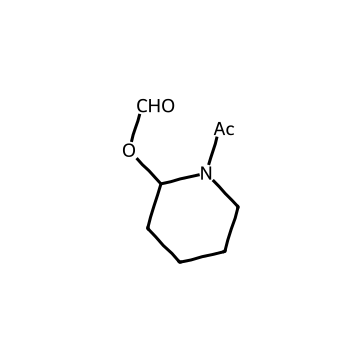 CC(=O)N1CCCCC1OC=O